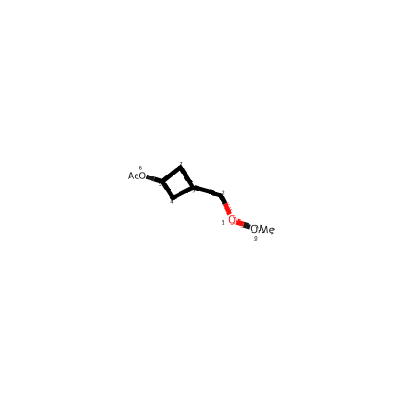 COOCC1CC(OC(C)=O)C1